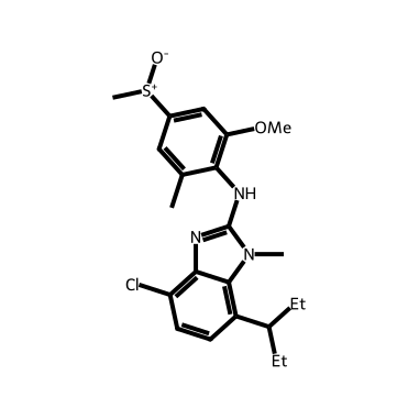 CCC(CC)c1ccc(Cl)c2nc(Nc3c(C)cc([S+](C)[O-])cc3OC)n(C)c12